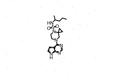 CCCC(C)NS(=O)(=O)N1CCN(c2ncnc3[nH]ccc23)CC12CC2